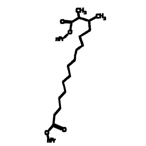 CCCOC(=O)CCCCCCCCCCCCC(C)C(C)C(=O)OCCC